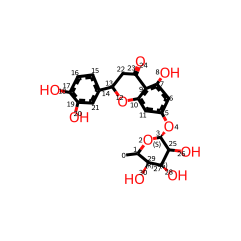 CC1O[C@@H](Oc2cc(O)c3c(c2)OC(c2ccc(O)c(O)c2)CC3=O)C(O)[C@@H](O)[C@H]1O